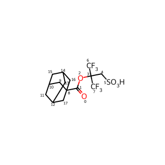 O=C(OC(CS(=O)(=O)O)(C(F)(F)F)C(F)(F)F)C12CC3CC(CC(C3)C1)C2